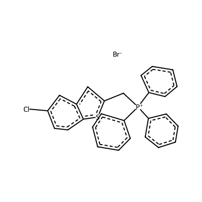 Clc1ccc2sc(C[P+](c3ccccc3)(c3ccccc3)c3ccccc3)cc2c1.[Br-]